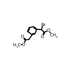 COC(=O)Cc1cccc(C(Br)C(=O)OC)c1